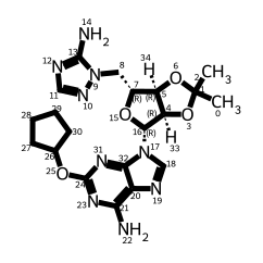 CC1(C)O[C@@H]2[C@H](O1)[C@@H](Cn1ncnc1N)O[C@H]2n1cnc2c(N)nc(OC3CCCC3)nc21